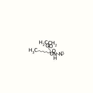 [CH2]C([CH2])OC(=O)CCC(CCCCCCCC)OC(=O)NCCN1CCCC1